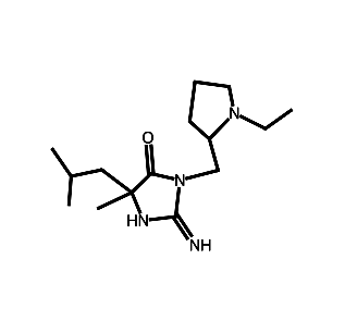 CCN1CCCC1CN1C(=N)NC(C)(CC(C)C)C1=O